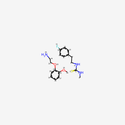 CNC(=S)NCCc1ccc(F)cc1.COc1ccccc1OCCN